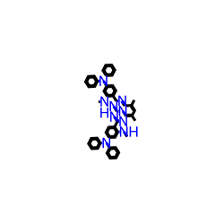 CNc1cc(N(c2ccccc2)c2ccccc2)ccc1C1=NC2=NC(c3ccc(N(c4ccccc4)c4ccccc4)cc3NC)=NC3=C(C)C=C(C)C(=N1)N23